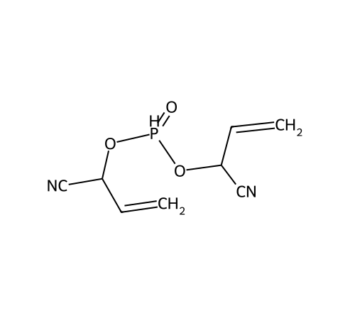 C=CC(C#N)O[PH](=O)OC(C#N)C=C